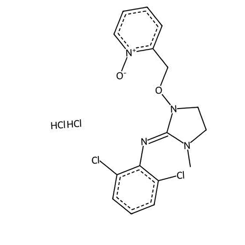 CN1CCN(OCc2cccc[n+]2[O-])/C1=N/c1c(Cl)cccc1Cl.Cl.Cl